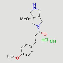 COC12CNCC1CN(C(=O)CCc1ccc(OC(F)(F)F)cc1)C2.Cl.Cl